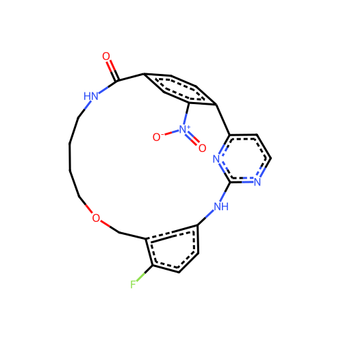 O=C1NCCCCOCc2cc(ccc2F)Nc2nccc(n2)-c2ccc1cc2[N+](=O)[O-]